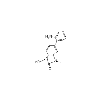 CCCn1c(=O)n(C)c2cc(-c3ccccc3N)ccc21